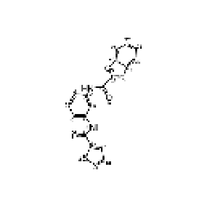 O=C(Nc1cccc(NC(=O)c2cccs2)c1)c1cc2ccccc2o1